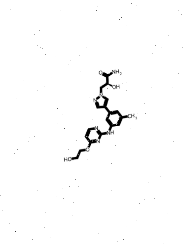 Cc1cc(Nc2nccc(OCCO)n2)cc(-c2cnn(C[C@H](O)C(N)=O)c2)c1